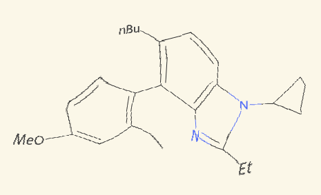 CCCCc1ccc2c(nc(CC)n2C2CC2)c1-c1ccc(OC)cc1C